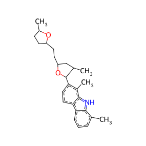 Cc1cccc2c1[nH]c1c(C)c(C3OC(CCC4CCC(C)O4)CC3C)ccc12